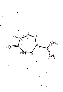 CC(C)C1CCNC(=O)NC1